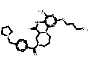 CCCCOc1nc(N)c2c(n1)N1CCCN(C(=O)c3ccc(CN4CCCC4)cc3)CC1C(=O)N2